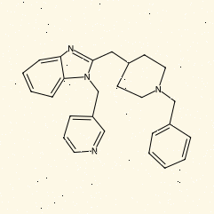 c1ccc(CN2CCC(Cc3nc4ccccc4n3Cc3cccnc3)CC2)cc1